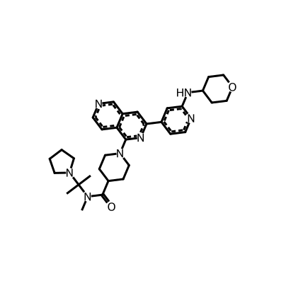 CN(C(=O)C1CCN(c2nc(-c3ccnc(NC4CCOCC4)c3)cc3cnccc23)CC1)C(C)(C)N1CCCC1